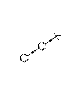 CP(C)(=O)C#Cc1ccc(C#Cc2ccccc2)cc1